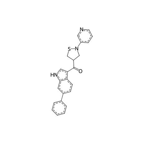 O=C(c1c[nH]c2cc(-c3ccccc3)ccc12)C1CSN(c2cccnc2)C1